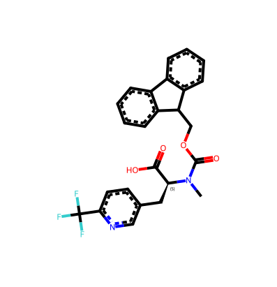 CN(C(=O)OCC1c2ccccc2-c2ccccc21)[C@@H](Cc1ccc(C(F)(F)F)nc1)C(=O)O